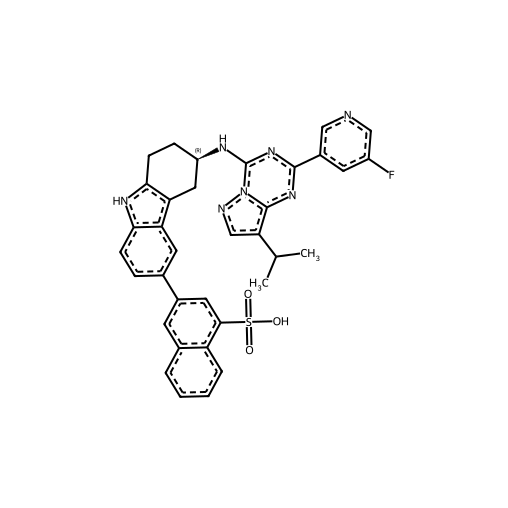 CC(C)c1cnn2c(N[C@@H]3CCc4[nH]c5ccc(-c6cc(S(=O)(=O)O)c7ccccc7c6)cc5c4C3)nc(-c3cncc(F)c3)nc12